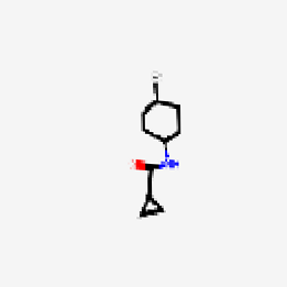 CC[C@H]1CC[C@@H](NC(=O)C2CC2)CC1